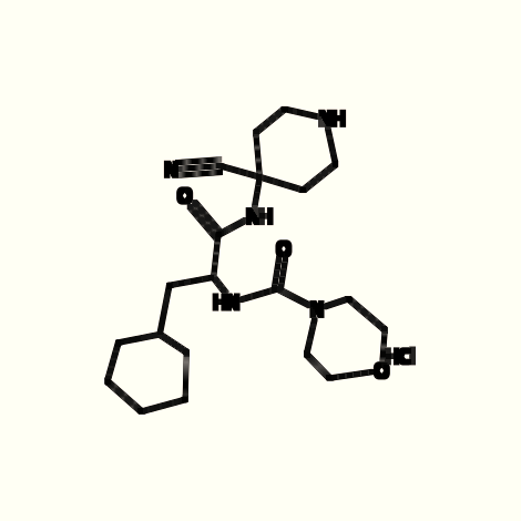 Cl.N#CC1(NC(=O)C(CC2CCCCC2)NC(=O)N2CCOCC2)CCNCC1